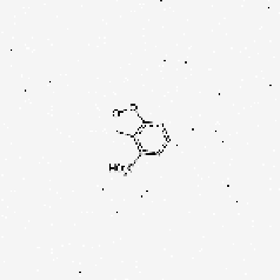 O=C(O)c1cccc2c1COO2